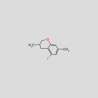 Cc1cc(F)c2c(c1)OCC(C)C2